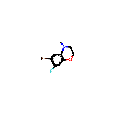 CN1CCOc2cc(F)c(Br)cc21